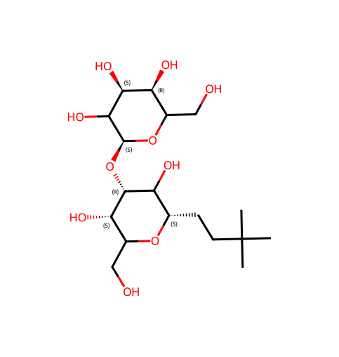 CC(C)(C)CC[C@@H]1OC(CO)[C@H](O)[C@H](O[C@@H]2OC(CO)[C@H](O)[C@H](O)C2O)C1O